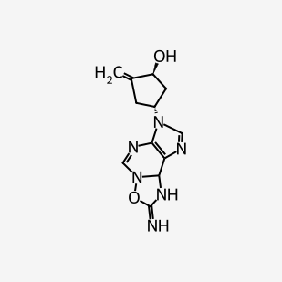 C=C1C[C@@H](n2cnc3c2N=CN2OC(=N)NC32)C[C@@H]1O